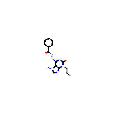 CCCn1c(=O)nc(NNC(=O)c2ccccc2)c2c1ncn2C